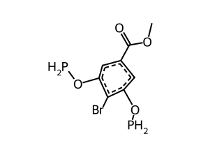 COC(=O)c1cc(OP)c(Br)c(OP)c1